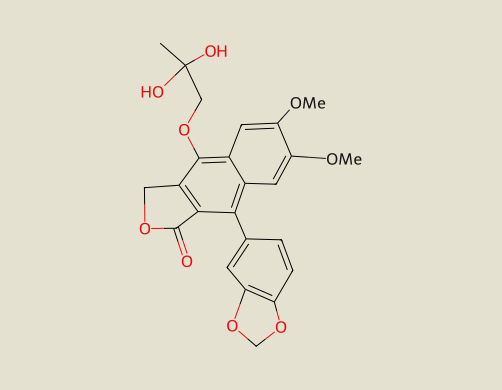 COc1cc2c(OCC(C)(O)O)c3c(c(-c4ccc5c(c4)OCO5)c2cc1OC)C(=O)OC3